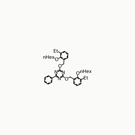 CCCCCCOc1c(CC)cccc1COc1nc(OCc2cccc(CC)c2OCCCCCC)nc(-c2ccccc2)n1